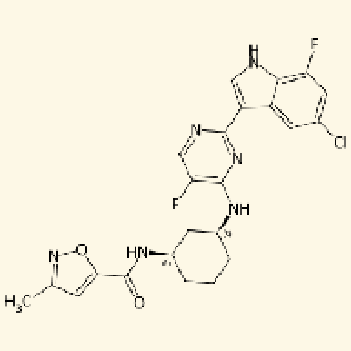 Cc1cc(C(=O)N[C@@H]2CCC[C@H](Nc3nc(-c4c[nH]c5c(F)cc(Cl)cc45)ncc3F)C2)on1